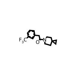 O=C(Cc1cccc(C(F)(F)F)c1)N1CCC2(CC1)CC2